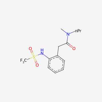 CCCN(C)C(=O)Cc1ccccc1NS(=O)(=O)C(F)(F)F